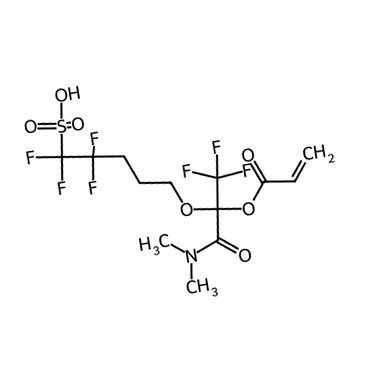 C=CC(=O)OC(OCCCC(F)(F)C(F)(F)S(=O)(=O)O)(C(=O)N(C)C)C(F)(F)F